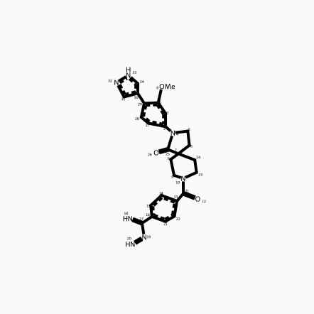 COc1cc(N2CCC3(CCN(C(=O)c4ccc(C(=N)N=N)cc4)CC3)C2=O)ccc1-c1cn[nH]c1